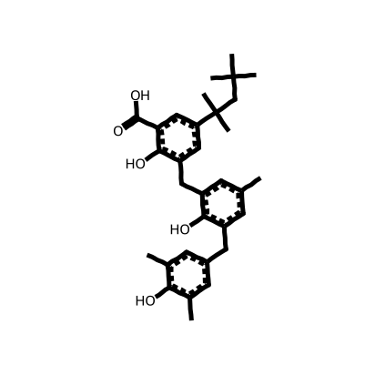 Cc1cc(Cc2cc(C)c(O)c(C)c2)c(O)c(Cc2cc(C(C)(C)CC(C)(C)C)cc(C(=O)O)c2O)c1